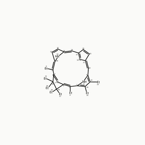 CCc1c2nc(c(CC)c3[nH]c(cc4nc(cc5ccc1[nH]5)C=C4)c(CC)c3CC)C(CC)(CC)C2(CC)CC